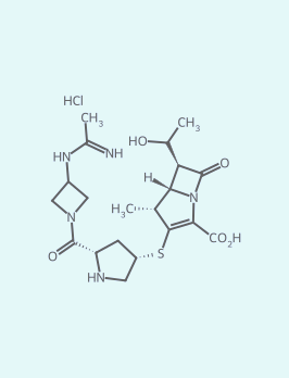 CC(=N)NC1CN(C(=O)[C@@H]2C[C@H](SC3=C(C(=O)O)N4C(=O)[C@H](C(C)O)[C@H]4[C@H]3C)CN2)C1.Cl